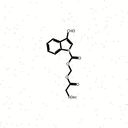 CCCCCCCCCCCC(=O)OCOC(=O)n1cc(C=O)c2ccccc21